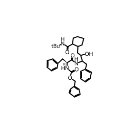 CC(C)(C)NC(=O)C1CCCCC1CC(O)C(Cc1ccccc1)NC(=O)[C@H](Cc1ccccc1)NC(=O)OCc1ccccc1